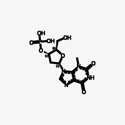 Cn1c(=O)[nH]c(=O)c2ncn([C@H]3C[C@H](OP(=O)(O)O)[C@@H](CO)O3)c21